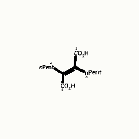 CCCCC/C(C(=O)O)=C(/CCCCC)C(=O)O